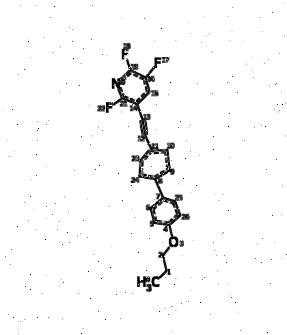 CCCOc1ccc(-c2ccc(C#Cc3cc(F)c(F)nc3F)cc2)cc1